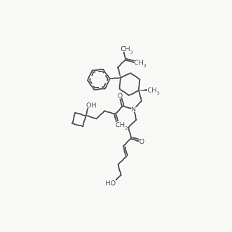 C=C(C)C[C@]1(c2ccccc2)CC[C@@](C)(CN(CCC(=O)/C=C/CCO)C(=O)C(=C)CCC2(O)CCC2)CC1